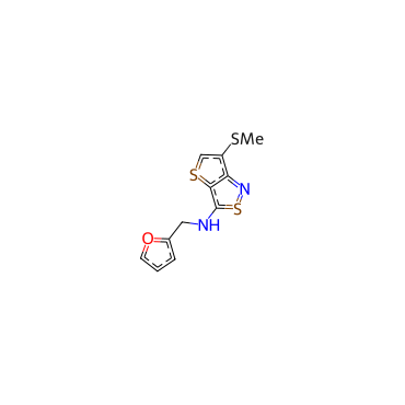 CSc1csc2c(NCc3ccco3)snc12